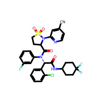 N#Cc1ccnc(N2C(C(=O)N(c3cccc(F)c3)[C@H](C(=O)NC3CCC(F)(F)CC3)c3ccccc3Cl)CCS2(=O)=O)c1